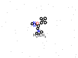 CC1(C)c2ccccc2N(c2ccc3c(c2)cc(-c2ccc([Si](c4ccccc4)(c4ccccc4)c4ccccc4)cc2)c2oc4nc5ccccc5nc4c23)c2ccccc21